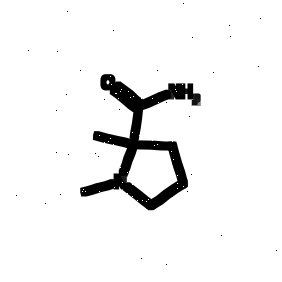 CN1CCCC1(C)C(N)=O